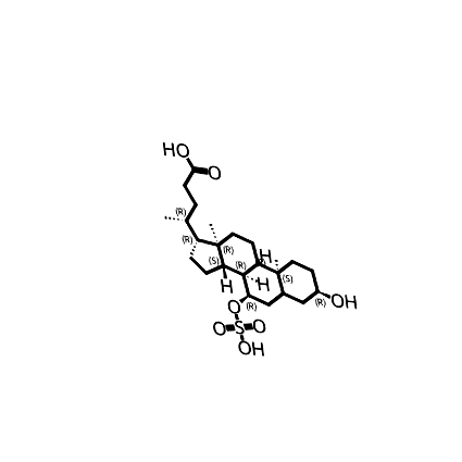 C[C@H](CCC(=O)O)[C@H]1CC[C@H]2[C@@H]3[C@H](OS(=O)(=O)O)CC4C[C@H](O)CC[C@]4(C)[C@H]3CC[C@]12C